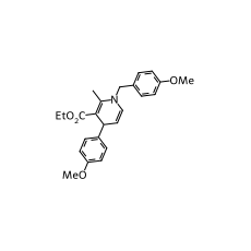 CCOC(=O)C1=C(C)N(Cc2ccc(OC)cc2)C=CC1c1ccc(OC)cc1